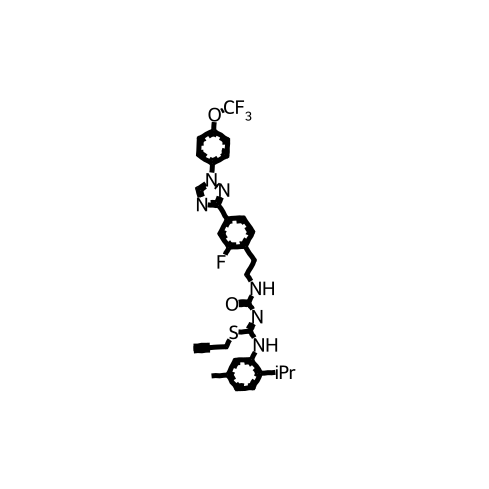 C#CCS/C(=N\C(=O)NCCc1ccc(-c2ncn(-c3ccc(OC(F)(F)F)cc3)n2)cc1F)Nc1cc(C)ccc1C(C)C